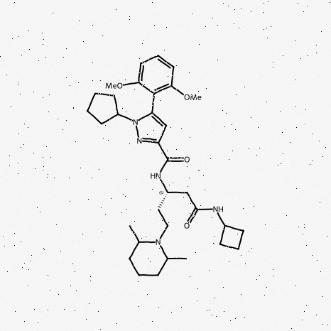 COc1cccc(OC)c1-c1cc(C(=O)N[C@@H](CCN2C(C)CCCC2C)CC(=O)NC2CCC2)nn1C1CCCC1